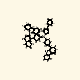 C1=CC2Oc3c(-c4ccc(N(c5ccc(-c6ccccc6)cc5)c5ccc(-c6c(-n7c8ccccc8c8ccccc87)ccc7ccccc67)cc5)cc4)cccc3C2C=C1